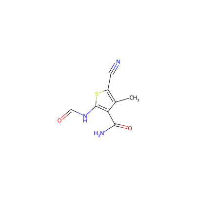 Cc1c(C#N)sc(NC=O)c1C(N)=O